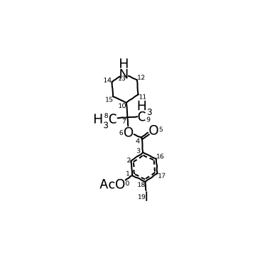 CC(=O)Oc1cc(C(=O)OC(C)(C)C2CCNCC2)ccc1I